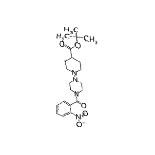 CC(C)(C)OC(=O)C1CCN(N2CCN(C(=O)c3ccccc3[N+](=O)[O-])CC2)CC1